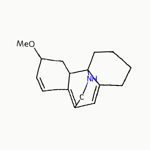 COC1C=CC2=C3C=C4CCCCC4(NC3)C2C1